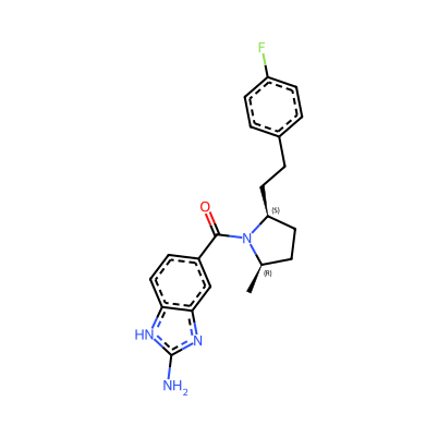 C[C@@H]1CC[C@H](CCc2ccc(F)cc2)N1C(=O)c1ccc2[nH]c(N)nc2c1